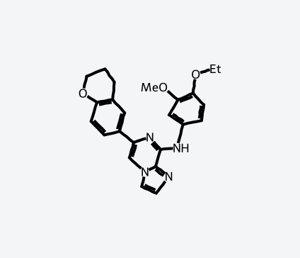 CCOc1ccc(Nc2nc(-c3ccc4c(c3)CCCO4)cn3ccnc23)cc1OC